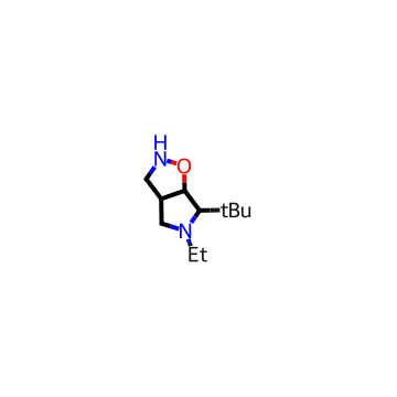 CCN1CC2CNOC2C1C(C)(C)C